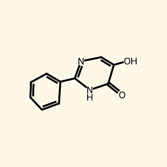 O=c1[nH]c(-c2ccccc2)ncc1O